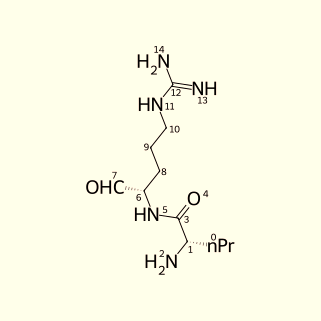 CCC[C@H](N)C(=O)N[C@H](C=O)CCCNC(=N)N